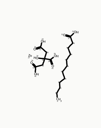 CCCCCCCCCCCC(=O)O.O=C(O)CC(O)(CC(=O)O)C(=O)O.[Zn]